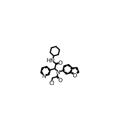 O=C(NC1CCCCC1)C(c1cccnc1)N(C(=O)CCl)c1ccc2ccoc2c1